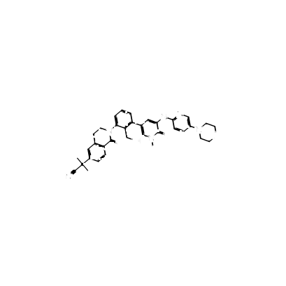 Cn1cc(-c2cccc(N3CCc4cc(C(C)(C)C#N)ccc4C3=O)c2CO)cc(Nc2ccc(N3CCOCC3)cn2)c1=O